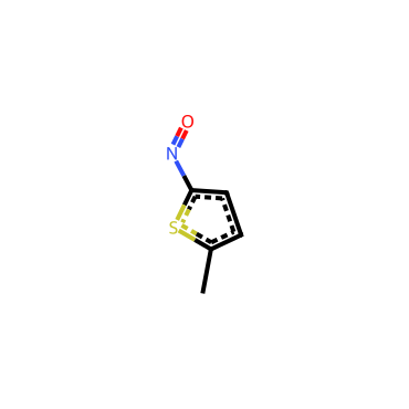 Cc1ccc(N=O)s1